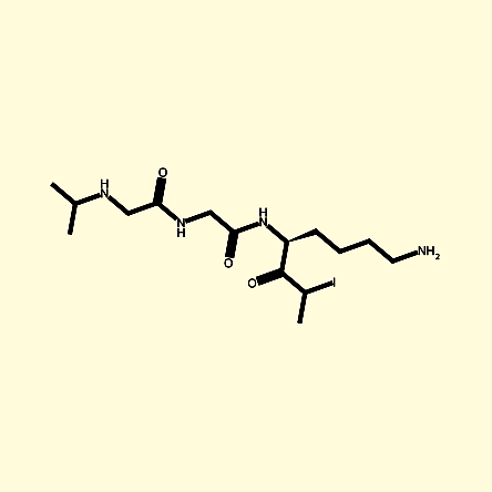 CC(C)NCC(=O)NCC(=O)N[C@@H](CCCCN)C(=O)C(C)I